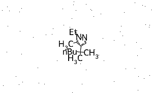 CCCCC(C)(C)c1cnn(CC)c1C